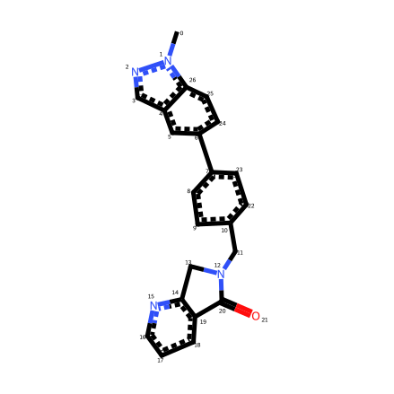 Cn1ncc2cc(-c3ccc(CN4Cc5ncccc5C4=O)cc3)ccc21